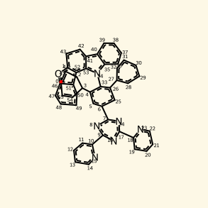 C1=CCC(c2cc(-c3nc(-c4ccccn4)nc(-c4ccccn4)n3)cc(-c3ccccc3)c2-n2c3ccccc3c3ccc4oc5ccccc5c4c32)C=C1